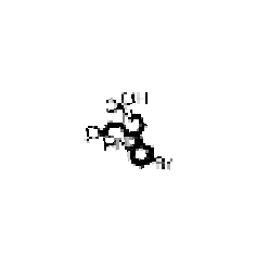 COC(=O)CC1c2[nH]c3ccc(Br)cc3c2CCN1C(=O)O